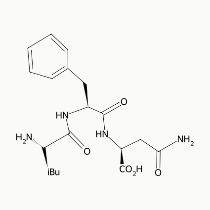 CC[C@H](C)[C@H](N)C(=O)N[C@@H](Cc1ccccc1)C(=O)N[C@@H](CC(N)=O)C(=O)O